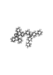 c1ccc(-c2ccc(N(c3ccc(-c4ccccc4)cc3)c3cccc(-c4ccc5c(c4)c4ccccc4c4oc(-c6ccccc6)c(-c6ccccc6)c54)c3)cc2)cc1